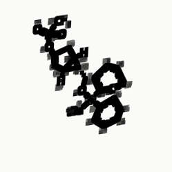 CC(C)(C)[Si](OC[C@@H]1[C@@H]2C=C(OS(=O)(=O)C(F)(F)F)C[C@@H]21)(c1ccccc1)c1ccccc1